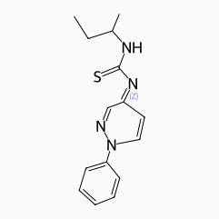 CCC(C)NC(=S)/N=c1/ccn(-c2ccccc2)nc1